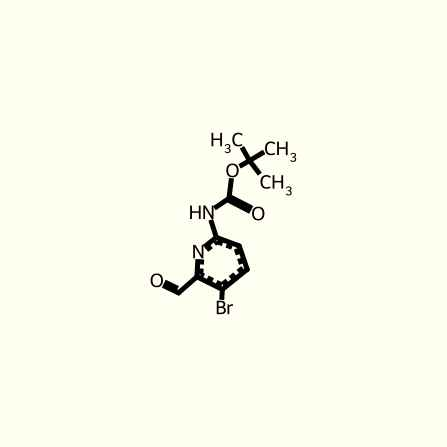 CC(C)(C)OC(=O)Nc1ccc(Br)c(C=O)n1